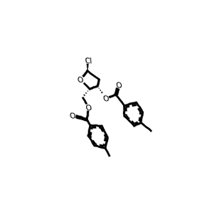 Cc1ccc(C(=O)OC[C@@H]2O[C@@H](Cl)C[C@@H]2OC(=O)c2ccc(C)cc2)cc1